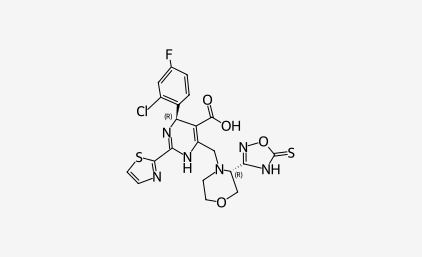 O=C(O)C1=C(CN2CCOC[C@H]2c2noc(=S)[nH]2)NC(c2nccs2)=N[C@H]1c1ccc(F)cc1Cl